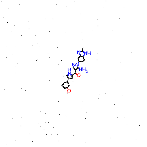 COc1cccc(-c2c[nH]c(C(=O)c3cnn(-c4ccc5[nH]c(C)nc5c4)c3N)c2)c1